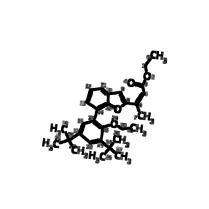 CCOC(=O)/C=C(/C)c1cc2cccc(-c3cc(C(C)(C)C)cc(C(C)(C)C)c3OCC)c2o1